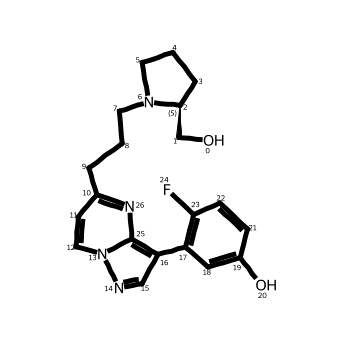 OC[C@@H]1CCCN1CCCc1ccn2ncc(-c3cc(O)ccc3F)c2n1